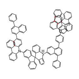 c1ccc(-c2ccccc2N(c2ccc(-c3ccc(-c4ccccc4)c4ccccc34)cc2)c2ccc3c(c2)-c2ccccc2C32c3ccccc3[SH](c3ccc4c(-c5ccc(N(c6ccccc6-c6ccccc6)c6cccc7c6C6(c8ccccc8Sc8ccccc86)c6ccccc6-7)cc5)ccc(-c5ccccc5)c4c3)c3ccccc32)cc1